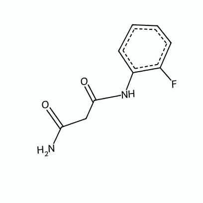 NC(=O)CC(=O)Nc1ccccc1F